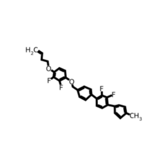 C=CCCOc1ccc(OCc2ccc(-c3ccc(-c4ccc(C)cc4)c(F)c3F)cc2)c(F)c1F